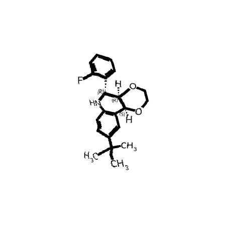 CC(C)(C)c1ccc2c(c1)[C@@H]1OCCO[C@@H]1[C@@H](c1ccccc1F)N2